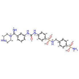 N=C(c1cccc(NC(=O)Nc2ccc(S(=O)(=O)NCc3ccc(S(N)(=O)=O)cc3)cc2)c1)N1CCNCC1